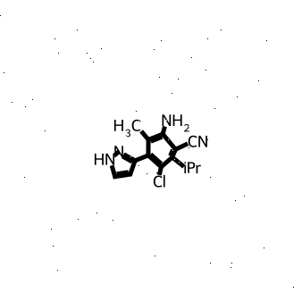 Cc1c(N)c(C#N)c(C(C)C)c(Cl)c1-c1cc[nH]n1